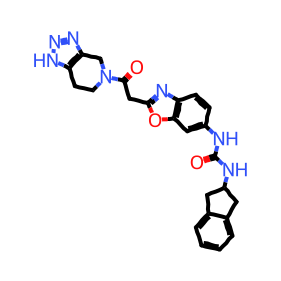 O=C(Nc1ccc2nc(CC(=O)N3CCc4[nH]nnc4C3)oc2c1)NC1Cc2ccccc2C1